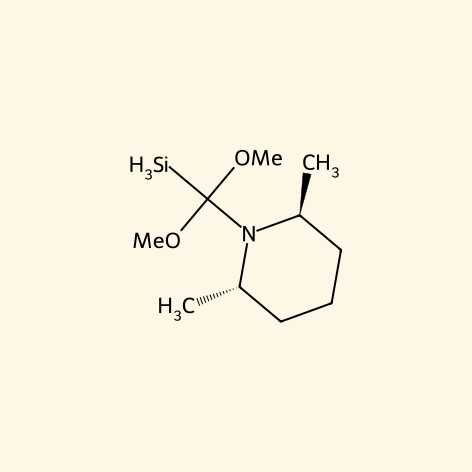 COC([SiH3])(OC)N1[C@@H](C)CCC[C@@H]1C